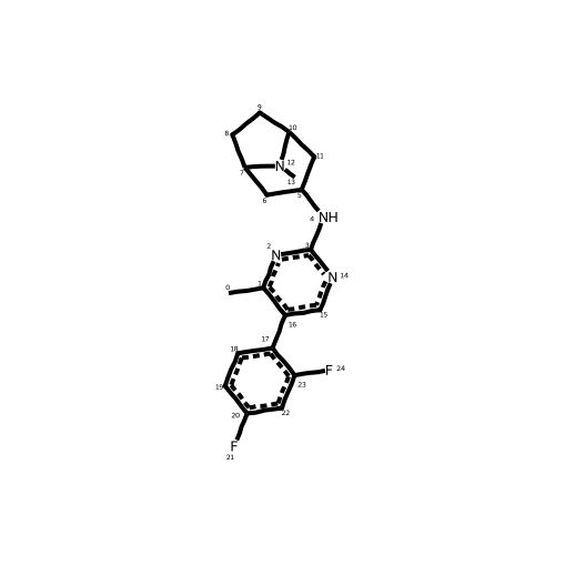 Cc1nc(NC2CC3CCC(C2)N3C)ncc1-c1ccc(F)cc1F